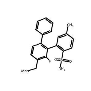 CNCc1ccc(-c2ccccc2)c(-c2cc(C)ccc2S(N)(=O)=O)c1F